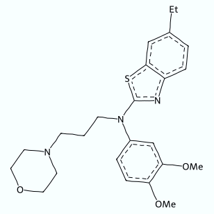 CCc1ccc2nc(N(CCCN3CCOCC3)c3ccc(OC)c(OC)c3)sc2c1